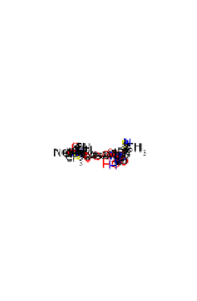 Cc1ncsc1-c1ccc(CNC(=O)[C@@H]2C[C@@H](O)CN2C(=O)C(NC(=O)COCCCCOCCCOc2ccc(N3C(=S)N(c4ccc(C#N)c(C(F)(F)F)c4)C(=O)C3(C)C)cc2)C(C)(C)C)cc1